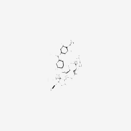 CC#C[C@]1(O)CCC2C3CC[C@@]4(O)CC5(CCC4=C3[C@@H](c3ccc(C(O)c4ccc(C#N)cc4)cc3)C[C@@]21C)OCCO5